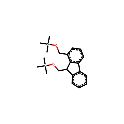 C[Si](C)(C)OCc1cccc2c1C(CO[Si](C)(C)C)c1ccccc1-2